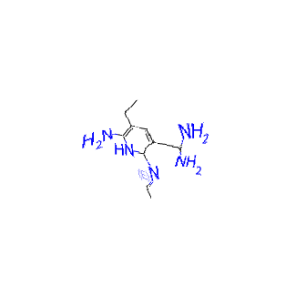 C/C=N/C1NC(N)=C(CC)C=C1C(N)N